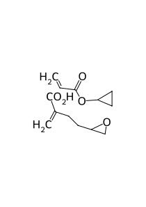 C=C(CCC1CO1)C(=O)O.C=CC(=O)OC1CC1